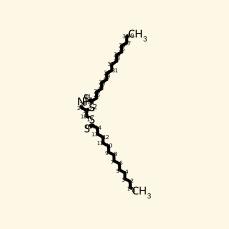 CCCCCCCCCCCCCCCC(=S)SCC(CN)SC(=S)CCCCCCCCCCCCCCC